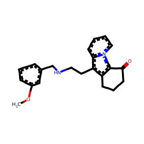 COc1cccc(CNCCc2c3c(n4ccccc24)C(=O)CCC3)c1